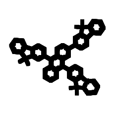 CC1(C)c2ccccc2-c2ccc(-c3ccc4c(-c5ccc6c(c5)C(C)(C)c5ccccc5-6)c5ccccc5c(-c5ccc6c(c5)C(C)(C)C5C=CC=CN65)c4c3)cc21